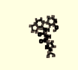 COc1cc(-c2ccc3c(c2NC(=O)N[S+]([O-])c2ccn(C(C)C)n2)CCC3)ccn1